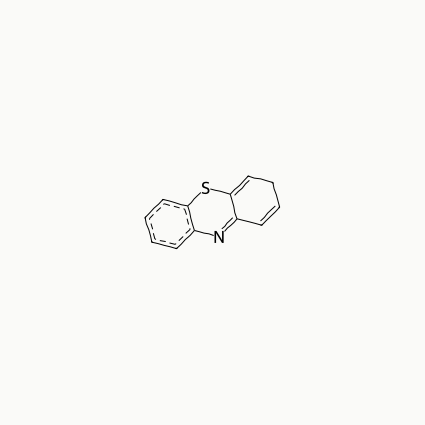 C1=CC2=Nc3ccccc3SC2=CC1